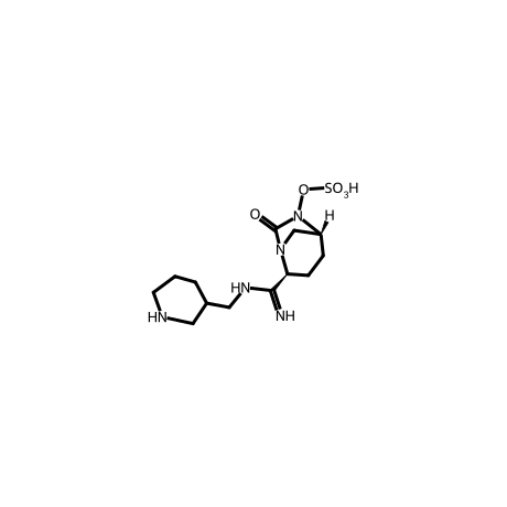 N=C(NCC1CCCNC1)[C@@H]1CC[C@@H]2CN1C(=O)N2OS(=O)(=O)O